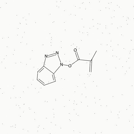 C=C(C)C(=O)On1nnc2ccccc21